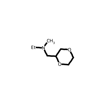 CCN(C)CC1COCCO1